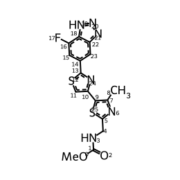 COC(=O)NCc1nc(C)c(-c2csc(-c3cc(F)c4[nH]nnc4c3)n2)s1